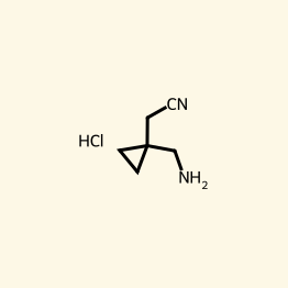 Cl.N#CCC1(CN)CC1